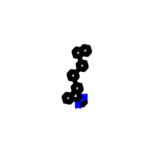 c1cc(-c2cccc(-c3cccc4ccccc34)c2)cc(-c2ccc3c(c2)c2ccccc2c2nccnc32)c1